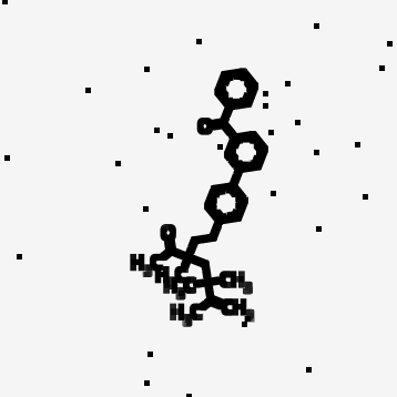 C=C(C)C(C)(C)CC(C)(CCc1ccc(-c2cccc(C(=O)c3ccccc3)c2)cc1)C(C)=O